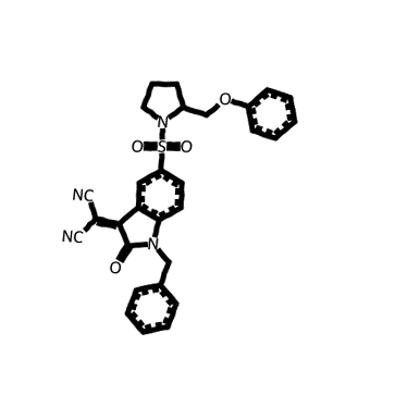 N#CC(C#N)=C1C(=O)N(Cc2ccccc2)c2ccc(S(=O)(=O)N3CCCC3COc3ccccc3)cc21